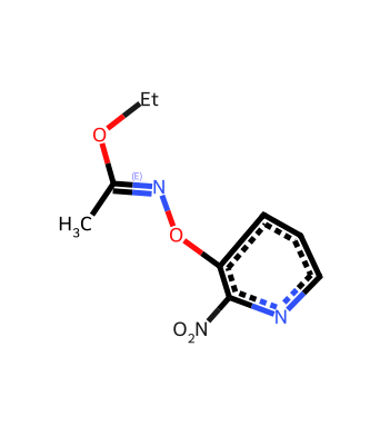 CCO/C(C)=N/Oc1cccnc1[N+](=O)[O-]